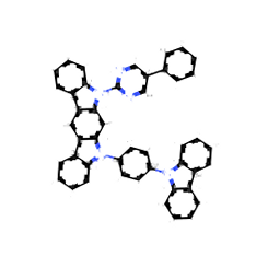 c1ccc(-c2cnc(-n3c4ccccc4c4cc5c6ccccc6n(-c6ccc(-n7c8ccccc8c8ccccc87)cc6)c5cc43)nc2)cc1